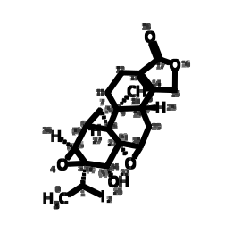 CC(I)[C@]12O[C@H]1[C@@H]1C[C@@]13[C@@]1(C)CCC4=C(COC4=O)[C@@H]1CC1O[C@@]13[C@@H]2O